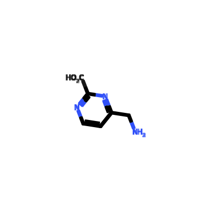 NCc1ccnc(C(=O)O)n1